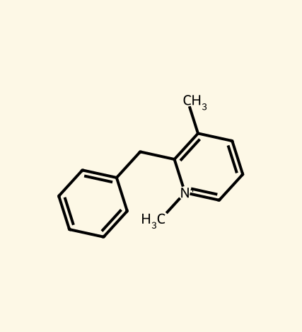 Cc1ccc[n+](C)c1Cc1ccccc1